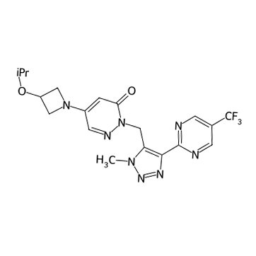 CC(C)OC1CN(c2cnn(Cc3c(-c4ncc(C(F)(F)F)cn4)nnn3C)c(=O)c2)C1